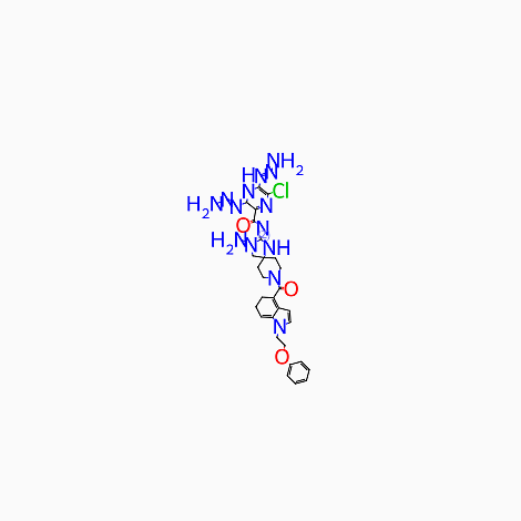 NN=NC1=C(Cl)N=C(C(=O)/N=C2/NC3(CCN(C(=O)C4=c5ccn(CCOc6ccccc6)c5=CCC4)CC3)CN2N)C(N=NN)N1